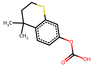 CC1(C)CCSc2cc(OC(=O)O)ccc21